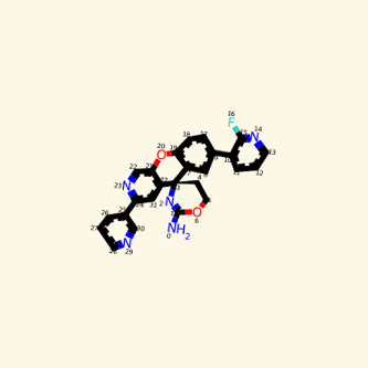 NC1=N[C@@]2(CCO1)c1cc(-c3cccnc3F)ccc1Oc1cnc(-c3cccnc3)cc12